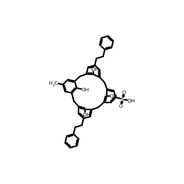 Cc1cc2c(O)c(c1)Cc1cc(CCc3ccccc3)cc(c1O)Cc1cc(S(=O)(=O)O)cc(c1O)Cc1cc(CCc3ccccc3)cc(c1O)C2